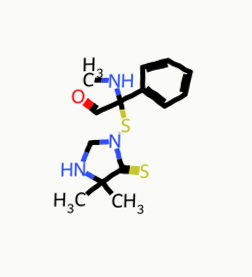 CNC(C=O)(SN1CNC(C)(C)C1=S)c1ccccc1